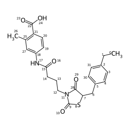 CCc1ccc(CC2SC(=O)N(CCCC(=O)Nc3ccc(C(=O)O)c(C)c3)C2=O)cc1